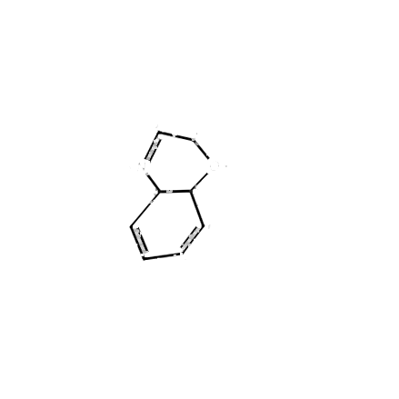 C1=CC2[N+]=CCOC2C=C1